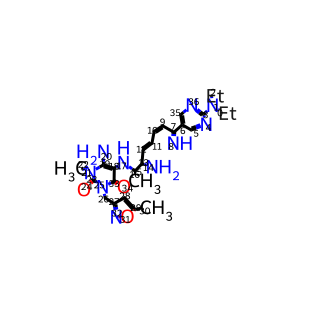 CCN(CC)c1ncc(C(=N)/C=C\C=CC(N)[C@H](C)Nc2c(N)n(C)c(=O)n(Cc3cc(C)on3)c2=O)cn1